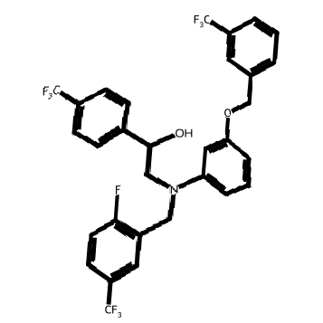 OC(CN(Cc1cc(C(F)(F)F)ccc1F)c1cccc(OCc2cccc(C(F)(F)F)c2)c1)c1ccc(C(F)(F)F)cc1